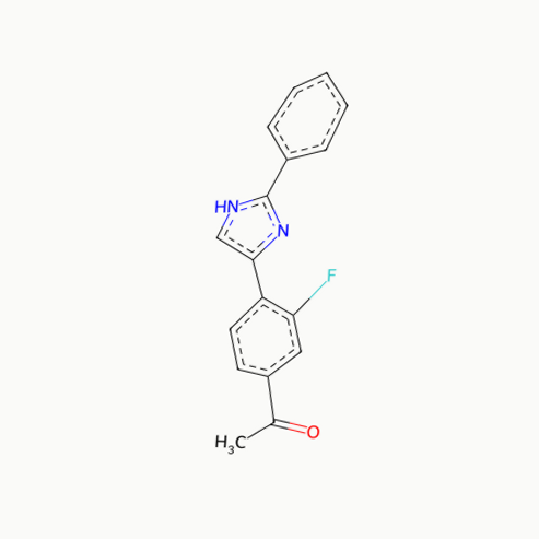 CC(=O)c1ccc(-c2c[nH]c(-c3ccccc3)n2)c(F)c1